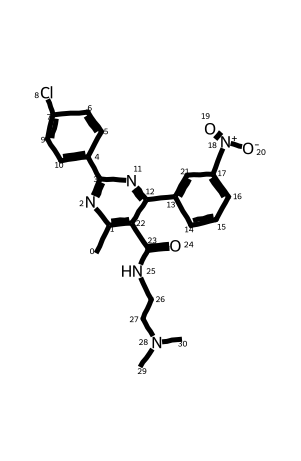 Cc1nc(-c2ccc(Cl)cc2)nc(-c2cccc([N+](=O)[O-])c2)c1C(=O)NCCN(C)C